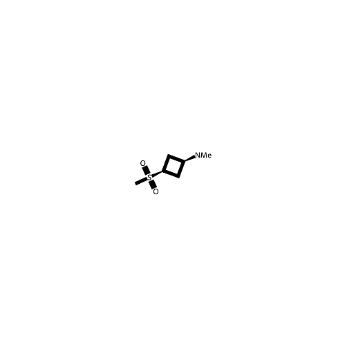 CN[C@H]1C[C@@H](S(C)(=O)=O)C1